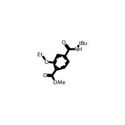 CCOc1cc(C(=O)NC(C)(C)C)ccc1C(=O)OC